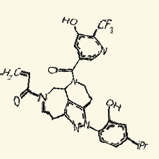 C=CC(=O)N1CCc2nn(-c3ccc(C(C)C)cc3O)c3c2C(C1)N(C(=O)c1cnc(C(F)(F)F)c(O)c1)CC3